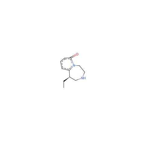 CC[C@@H]1CNCCn2c1cccc2=O